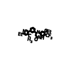 CCOc1cc2c(cc1C(F)(F)F)NC(=O)CC(c1cccc(-c3cnc(CC)cc3C)c1)=N2